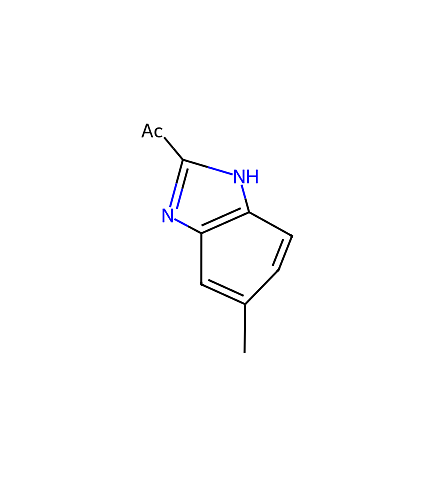 CC(=O)c1nc2cc(C)ccc2[nH]1